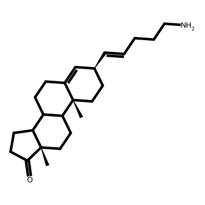 C[C@]12CC[C@H](/C=C/CCCN)C=C1CCC1C2CC[C@]2(C)C(=O)CCC12